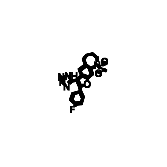 CS(=O)(=O)N1CCCCc2cc3c(-c4nnn[nH]4)c(-c4ccc(F)cc4)oc3cc21